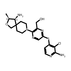 C[C@@H]1OCC2(CCN(c3ncc(Sc4ccnc(N)c4Cl)nc3CO)CC2)[C@@H]1N